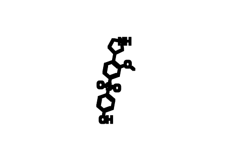 COc1cc(S(=O)(=O)c2ccc(O)cc2)ccc1C1CCNC1